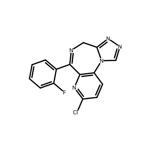 Fc1ccccc1C1=NCc2nncn2-c2ccc(Cl)nc21